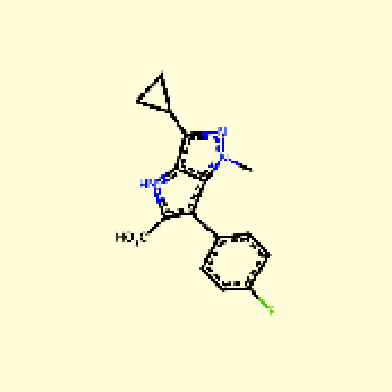 Cn1nc(C2CC2)c2[nH]c(C(=O)O)c(-c3ccc(F)cc3)c21